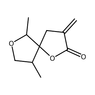 C=C1CC2(OC1=O)C(C)COC2C